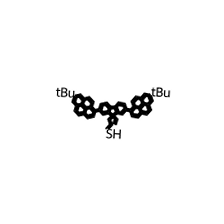 C=CC1(CCCS)c2cc(-c3ccc4ccc5cc(C(C)(C)C)cc6ccc3c4c56)ccc2-c2ccc(-c3ccc4ccc5cc(C(C)(C)C)cc6ccc3c4c56)cc21